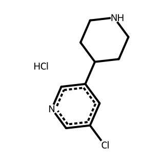 Cl.Clc1cncc(C2CCNCC2)c1